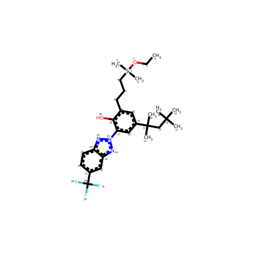 CCO[Si](C)(C)CCCc1cc(C(C)(C)CC(C)(C)C)cc(-n2nc3ccc(C(F)(F)F)cc3n2)c1O